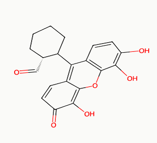 O=C[C@@H]1CCCCC1c1c2ccc(=O)c(O)c-2oc2c(O)c(O)ccc12